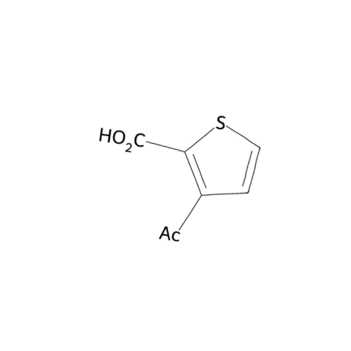 CC(=O)c1ccsc1C(=O)O